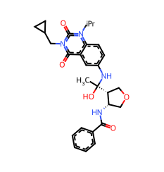 CC(C)n1c(=O)n(CC2CC2)c(=O)c2cc(NC(C)(O)[C@@H]3COC[C@@H]3NC(=O)c3ccccc3)ccc21